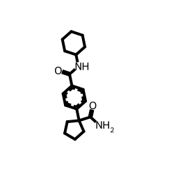 NC(=O)C1(c2ccc(C(=O)NC3CCCCC3)cc2)CCCC1